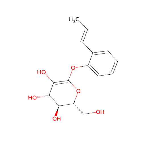 CC=Cc1ccccc1OC1=C(O)[C@@H](O)[C@H](O)[C@@H](CO)O1